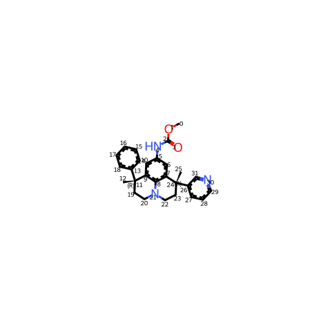 COC(=O)Nc1cc2c3c(c1)[C@@](C)(c1ccccc1)CCN3CC[C@@]2(C)c1cccnc1